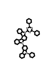 c1ccc(-c2nc(-c3ccccc3)nc(-n3c4ccccc4c4c5c6ccccc6n(-c6ccc7c(c6)c6ccccc6n7-c6ccccc6)c5ccc43)n2)cc1